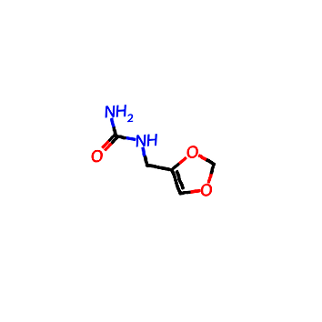 NC(=O)NCC1=COCO1